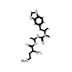 CSCCC(N)C(=O)OC(C)OC(=O)N(C)C(C)Cc1ccc2c(c1)OCO2